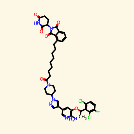 CC(Oc1cc(-c2cnn(C3CCN(C(=O)CCCCCCCCc4cccc5c4C(=O)N(C4CCC(=O)NC4=O)C5=O)CC3)c2)cnc1N)c1c(Cl)ccc(F)c1Cl